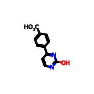 O=C(O)c1ccc(-c2ccnc(O)n2)cc1